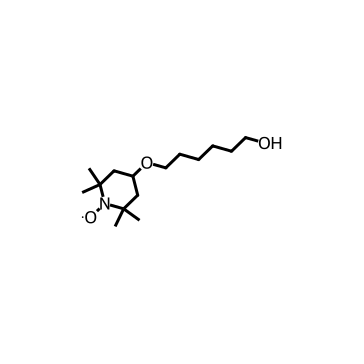 CC1(C)CC(OCCCCCCO)CC(C)(C)N1[O]